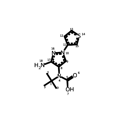 CC(C)(C)N(C(=O)O)c1cn(-c2ccsc2)nc1N